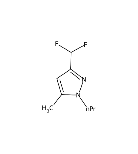 CCCn1nc(C(F)F)cc1C